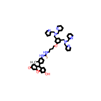 Cc1cc(NC(=S)NCCCCOc2cc(CN(Cc3ccccn3)Cc3ccccn3)cc(CN(Cc3ccccn3)Cc3ccccn3)c2)ccc1-c1c2ccc(=O)cc-2oc2cc(O)ccc12